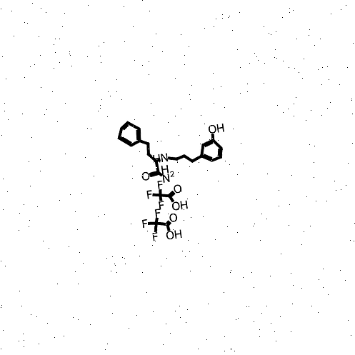 NC(=O)C(CCc1ccccc1)NCCCc1cccc(O)c1.O=C(O)C(F)(F)F.O=C(O)C(F)(F)F